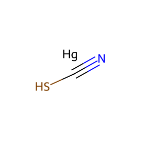 N#CS.[Hg]